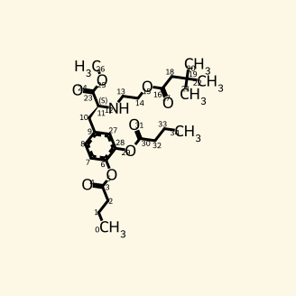 CCCC(=O)Oc1ccc(C[C@H](NCCOC(=O)CC(C)(C)C)C(=O)OC)cc1OC(=O)CCC